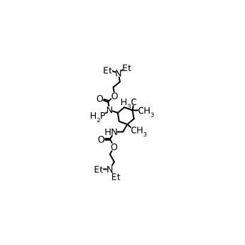 CCN(CC)CCOC(=O)NCC1(C)CC(N(P)C(=O)OCCN(CC)CC)CC(C)(C)C1